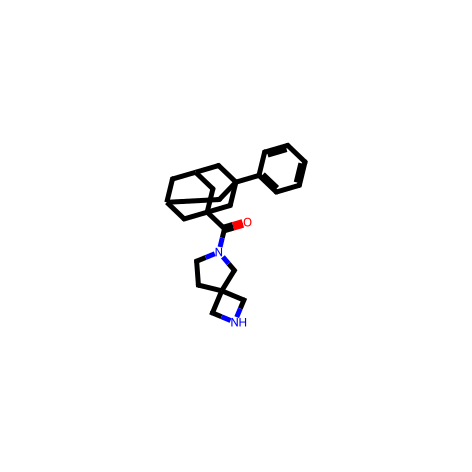 O=C(N1CCC2(CNC2)C1)C12CC3CC(C1)CC(c1ccccc1)(C3)C2